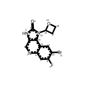 O=c1[nH]c2cnc3cc(F)c(Br)cc3c2n1C1CCO1